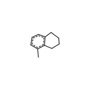 [CH2]c1cccc2c1CCCC2